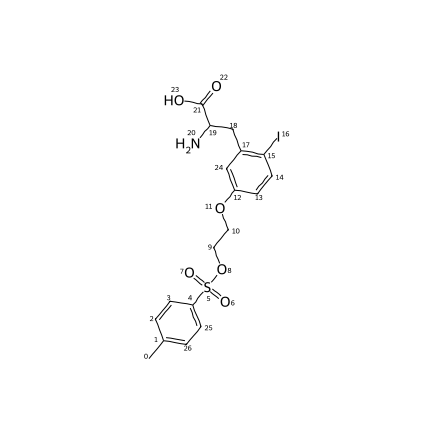 Cc1ccc(S(=O)(=O)OCCOc2ccc(I)c(CC(N)C(=O)O)c2)cc1